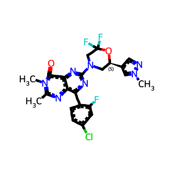 Cc1nc2c(-c3ccc(Cl)cc3F)nc(N3C[C@H](c4cnn(C)c4)OC(F)(F)C3)nc2c(=O)n1C